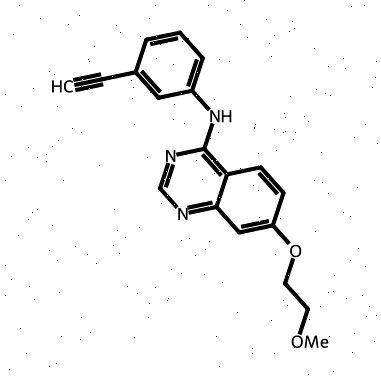 C#Cc1cccc(Nc2ncnc3cc(OCCOC)ccc23)c1